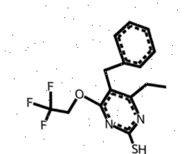 CCc1nc(S)nc(OCC(F)(F)F)c1Cc1ccccc1